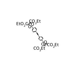 CCOC(=O)[C@@H]1OC(c2ccc(C#Cc3ccc(C4O[C@@H](C(=O)OCC)[C@H](C(=O)OCC)O4)cc3)cc2)O[C@H]1C(=O)OCC